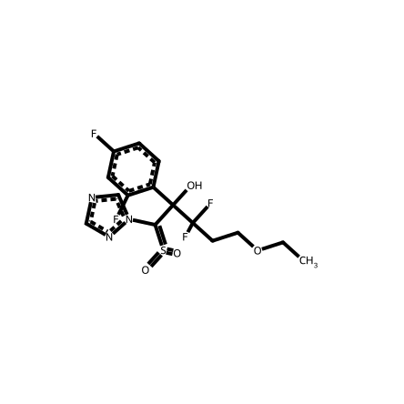 CCOCCC(F)(F)C(O)(C(n1cncn1)=S(=O)=O)c1ccc(F)cc1F